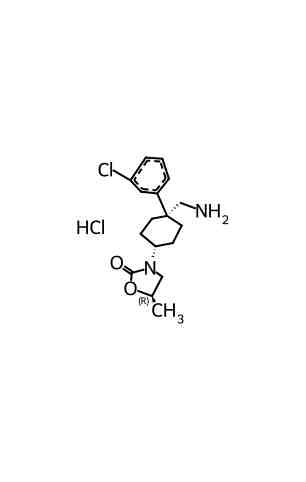 C[C@@H]1CN([C@H]2CC[C@](CN)(c3cccc(Cl)c3)CC2)C(=O)O1.Cl